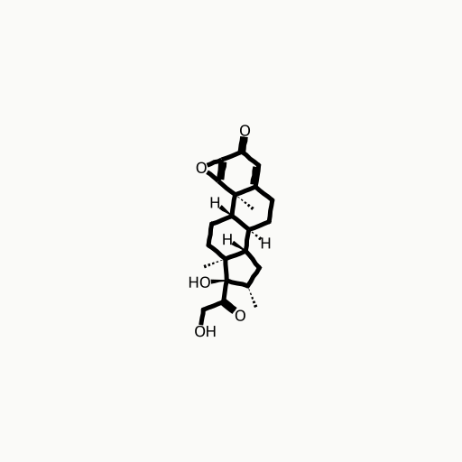 C[C@H]1C[C@H]2[C@@H]3CCC4=CC(=O)C5=C(O5)[C@]4(C)[C@H]3CC[C@]2(C)[C@@]1(O)C(=O)CO